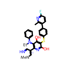 CCN(c1ccccc1)c1c(/C(C=N)=C/NC)nc(O)c(Sc2ccc(-c3ccc(F)nc3C)cc2)c1O